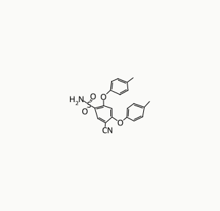 Cc1ccc(Oc2cc(Oc3ccc(C)cc3)c(S(N)(=O)=O)cc2C#N)cc1